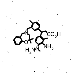 Cc1ccc(C(CC(=O)O)c2ccc(N(C)N)c(N)c2C)cc1CN1Cc2ccccc2OC(C)(C)C1